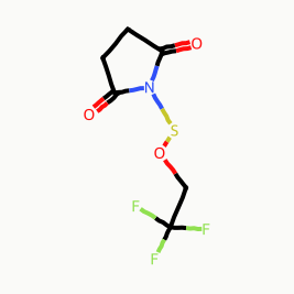 O=C1CCC(=O)N1SOCC(F)(F)F